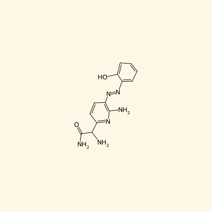 NC(=O)C(N)c1ccc(N=Nc2ccccc2O)c(N)n1